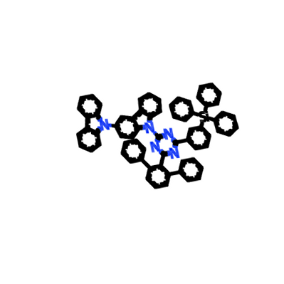 c1ccc(-c2cccc(-c3ccccc3)c2-c2nc(-c3cccc([Si](c4ccccc4)(c4ccccc4)c4ccccc4)c3)nc(-n3c4ccccc4c4cc(-n5c6ccccc6c6ccccc65)ccc43)n2)cc1